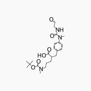 CN(CCCC(Cc1ccc(N(C)C(=O)NCC=O)cc1)C(=O)O)C(=O)OC(C)(C)C